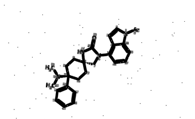 CC(=O)n1ccc2c(N3C[C@]4(CC[C@](c5ccccc5)(N(C)C)CC4)NC3=O)cccc21